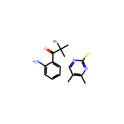 CC(C)C(C)(C)C(=O)c1ccccc1N.Cc1cnc(S)nc1C